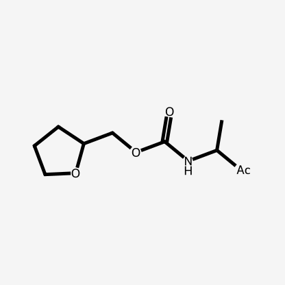 CC(=O)C(C)NC(=O)OCC1CCCO1